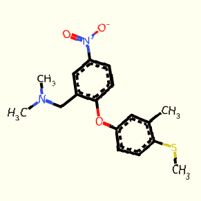 CSc1ccc(Oc2ccc([N+](=O)[O-])cc2CN(C)C)cc1C